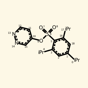 CC(C)c1cc(C(C)C)c(S(=O)(=O)Oc2ccnnc2)c(C(C)C)c1